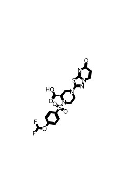 O=C(O)[C@H]1CN(c2nn3ccc(=O)nc3s2)CCN1S(=O)(=O)c1ccc(OC(F)F)cc1